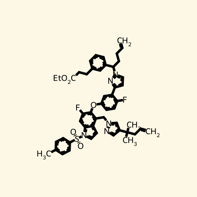 C=CCCC(c1cccc(CCC(=O)OCC)c1)n1ccc(-c2cc(Oc3c(F)cc4c(ccn4S(=O)(=O)c4ccc(C)cc4)c3Cn3cc(C(C)(C)CC=C)cn3)ccc2F)n1